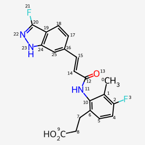 Cc1c(F)ccc(CCC(=O)O)c1NC(=O)C=Cc1ccc2c(F)n[nH]c2c1